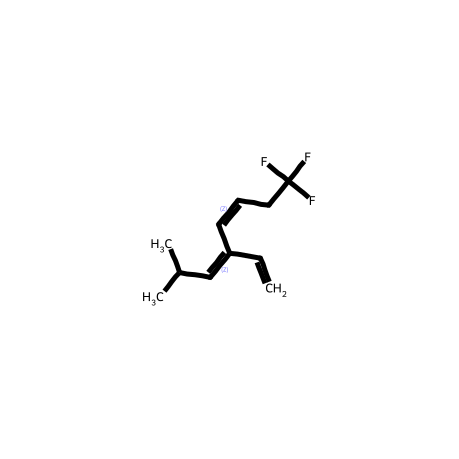 C=CC(/C=C\CC(F)(F)F)=C/C(C)C